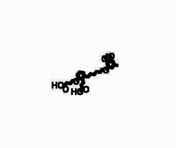 Cc1cc(OCCCCCCc2cccc(OCCCC(=O)O)c2CCC(=O)O)cc(S(C)(=O)=O)c1